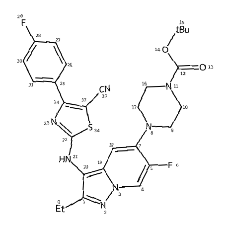 CCc1nn2cc(F)c(N3CCN(C(=O)OC(C)(C)C)CC3)cc2c1Nc1nc(-c2ccc(F)cc2)c(C#N)s1